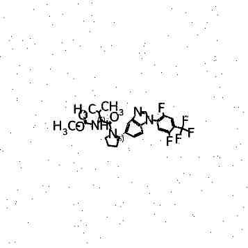 COC(=O)N[C@H](C(=O)N1CCC[C@H]1c1ccc2c(c1)ncn2-c1cc(F)c(C(F)(F)F)cc1F)C(C)C